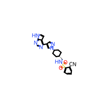 N#Cc1ccccc1S(=O)(=O)NC[C@H]1CC[C@@H](n2cc(-c3ncnc4[nH]ccc34)cn2)CC1